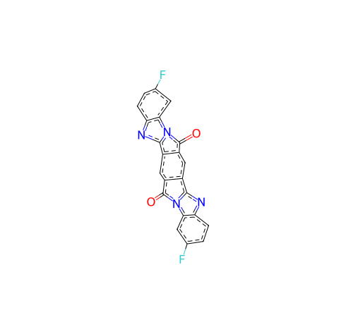 O=c1c2cc3c(cc2c2nc4ccc(F)cc4n12)c(=O)n1c2cc(F)ccc2nc31